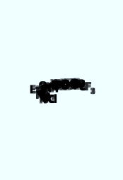 CCc1nc2ncc(Cl)cn2c1C(=O)NCc1ccc(N2CCC(c3ccc(OC(F)(F)F)cc3)CC2)cc1